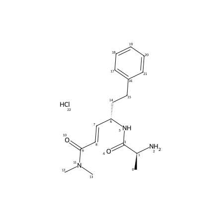 C[C@H](N)C(=O)N[C@H](C=CC(=O)N(C)C)CCc1ccccc1.Cl